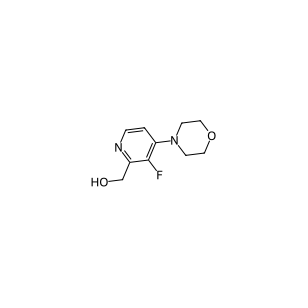 OCc1nccc(N2CCOCC2)c1F